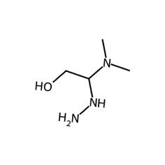 CN(C)C(CO)NN